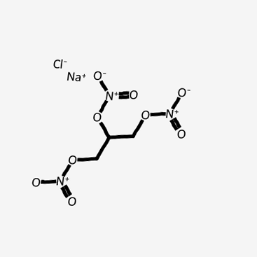 O=[N+]([O-])OCC(CO[N+](=O)[O-])O[N+](=O)[O-].[Cl-].[Na+]